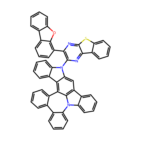 c1ccc2c(c1)-c1ccccc1-n1c3ccccc3c3cc4c(c-2c31)c1ccccc1n4-c1nc2c(nc1-c1cccc3c1oc1ccccc13)sc1ccccc12